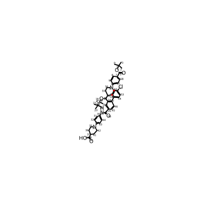 CC(C)(C)OC(=O)c1ccc(N2CCC([C@H](O[Si](C)(C)C(C)(C)C)c3cc(C(=O)Nc4ccc(N5CCC(C(=O)O)CC5)cc4)ccc3-c3ccc(Cl)cc3)CC2)cc1